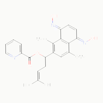 COc1cc(C(CC=C(C)C)OC(=O)c2ccccn2)c(OC)c2c1/C(=N/O)C=C/C2=N\O